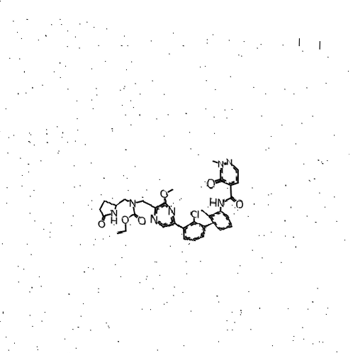 CCOC(=O)N(Cc1ncc(-c2cccc(-c3cccc(NC(=O)c4ccnn(C)c4=O)c3C)c2Cl)nc1OC)CC1CCC(=O)N1